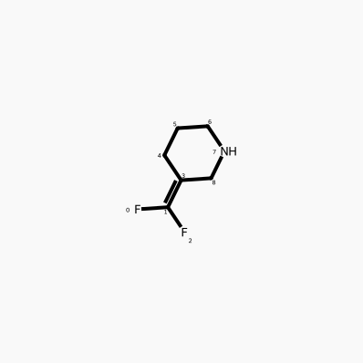 FC(F)=C1CCCNC1